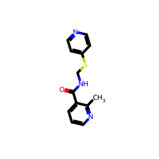 Cc1ncccc1C(=O)NCSc1ccncc1